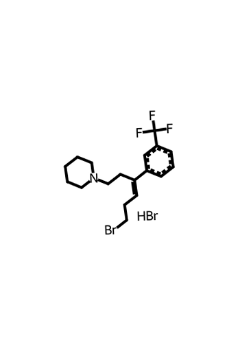 Br.FC(F)(F)c1cccc(C(=CCCBr)CCN2CCCCC2)c1